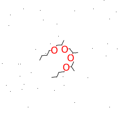 CCCCOCC(C)OCC(C)OCC(C)OCCCC